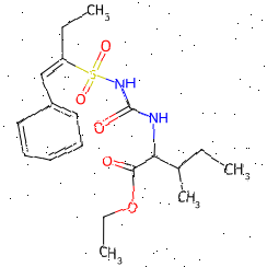 CCOC(=O)C(NC(=O)NS(=O)(=O)C(=Cc1ccccc1)CC)C(C)CC